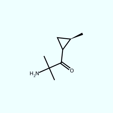 C[C@@H]1CC1C(=O)C(C)(C)N